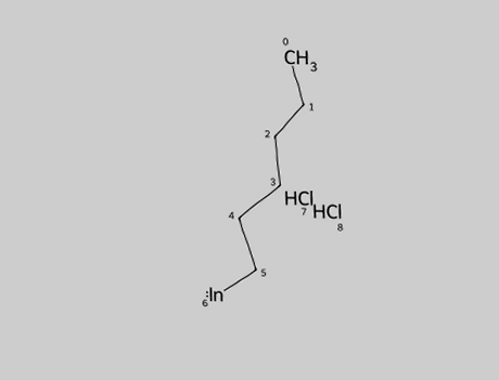 CCCCC[CH2][In].Cl.Cl